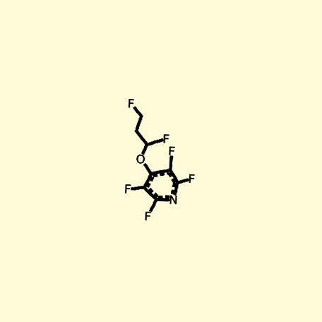 FCCC(F)Oc1c(F)c(F)nc(F)c1F